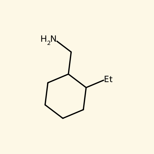 CCC1CCCCC1CN